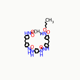 CCCCCOC(=O)Nc1ccc(Cc2ccc(NC(=O)Nc3ccc(NC(=O)Nc4ccc(Cc5ccc(NC(=O)OC)cc5)cc4)cc3)cc2)cc1